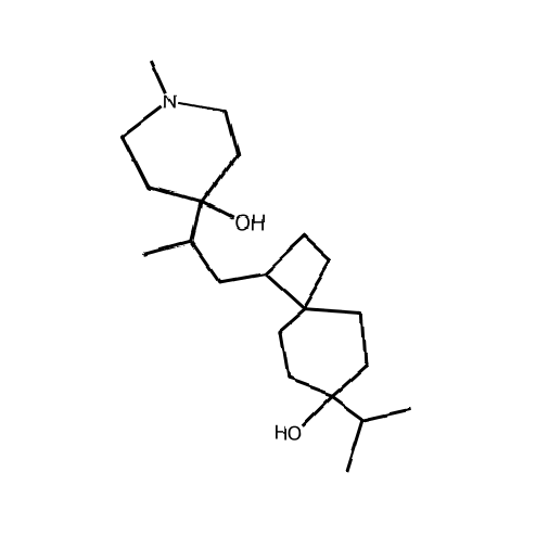 CC(C)C1(O)CCC2(CCC2CC(C)C2(O)CCN(C)CC2)CC1